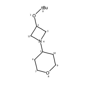 CC(C)(C)OC1CN(C2CCOCC2)C1